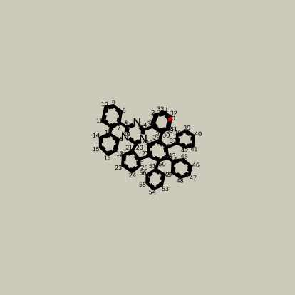 c1ccc(-c2nc(-c3ccccc3-c3ccccc3)nc(-c3ccccc3-c3cc(-c4ccccc4)c(-c4ccccc4)c(-c4ccccc4)c3-c3ccccc3)n2)cc1